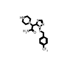 NC(=O)C(C1SC=NN1SCc1ccc(C(F)(F)F)cc1)N1CCNCC1